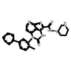 Cc1ccc(-c2ccccc2)cc1N1C(=O)Nc2c(C(=O)N[C@@H]3CCCNC3)sc3nccc1c23